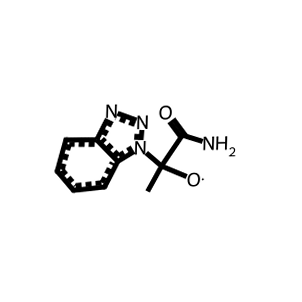 CC([O])(C(N)=O)n1nnc2ccccc21